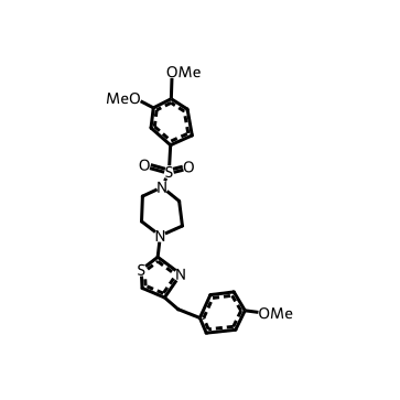 COc1ccc(Cc2csc(N3CCN(S(=O)(=O)c4ccc(OC)c(OC)c4)CC3)n2)cc1